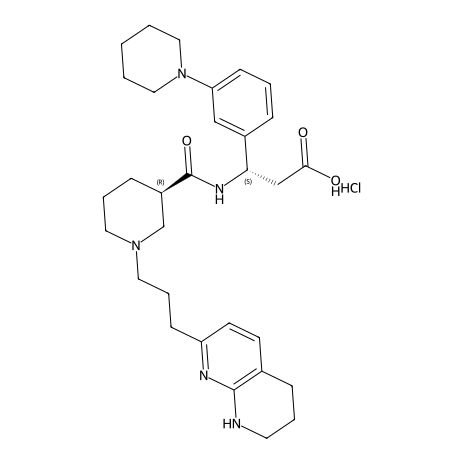 Cl.O=C(O)C[C@H](NC(=O)[C@@H]1CCCN(CCCc2ccc3c(n2)NCCC3)C1)c1cccc(N2CCCCC2)c1